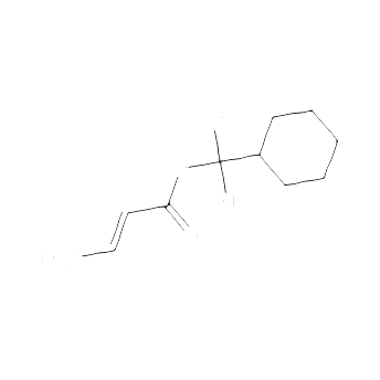 O=C(O)/C=C/C(=O)OC(C1CCCCC1)(C(F)(F)F)C(F)(F)F